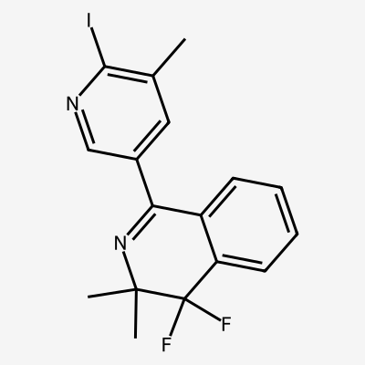 Cc1cc(C2=NC(C)(C)C(F)(F)c3ccccc32)cnc1I